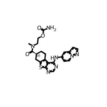 CN(CCOC(N)=O)C(=O)[C@H]1CCc2c(sc3ncnc(Nc4ccn5nccc5c4)c23)C1